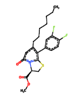 CCCCCCCc1cc(=O)n2c(c1-c1ccc(F)c(F)c1)SC[C@H]2C(=O)OC